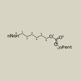 CCCCCCCCCCCCCCCOC(=O)OCCCCC